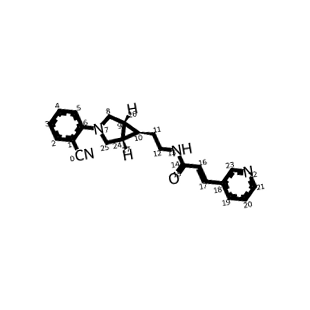 N#Cc1ccccc1N1C[C@@H]2[C@@H](CCNC(=O)/C=C/c3cccnc3)[C@@H]2C1